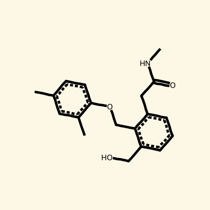 CNC(=O)Cc1cccc(CO)c1COc1ccc(C)cc1C